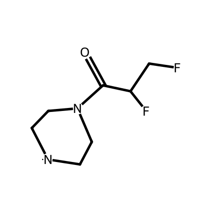 O=C(C(F)CF)N1CC[N]CC1